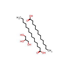 CCCCCCCCCCCCCC(=O)O.CCCCCCCCCCCCCCC(=O)O.OCC(O)CO